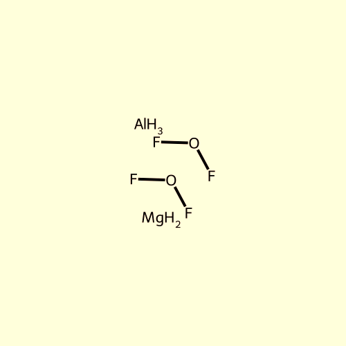 FOF.FOF.[AlH3].[MgH2]